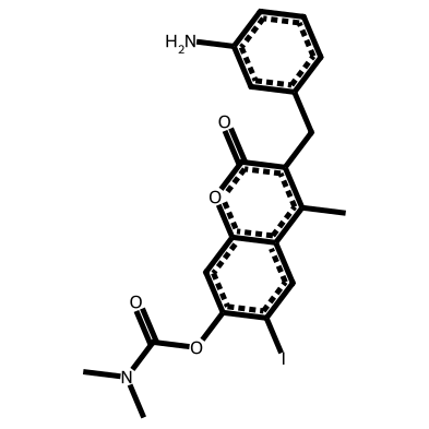 Cc1c(Cc2cccc(N)c2)c(=O)oc2cc(OC(=O)N(C)C)c(I)cc12